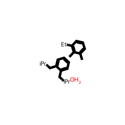 CC(C)Cc1ccccc1CC(C)C.CCc1cccc(C)c1C.O